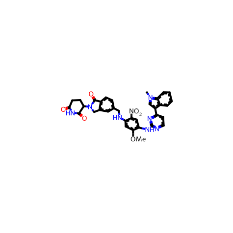 COc1cc(NCc2ccc3c(c2)CN(C2CCC(=O)NC2=O)C3=O)c([N+](=O)[O-])cc1Nc1nccc(-c2cn(C)c3ccccc23)n1